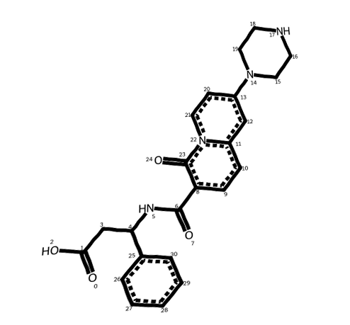 O=C(O)CC(NC(=O)c1ccc2cc(N3CCNCC3)ccn2c1=O)c1ccccc1